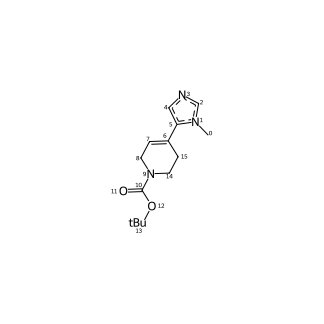 Cn1cncc1C1=CCN(C(=O)OC(C)(C)C)CC1